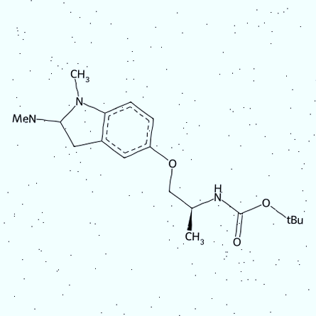 CNC1Cc2cc(OC[C@H](C)NC(=O)OC(C)(C)C)ccc2N1C